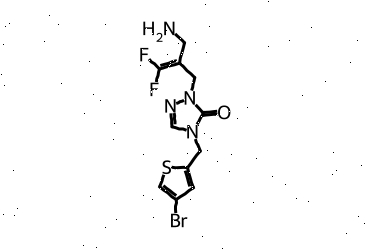 NCC(Cn1ncn(Cc2cc(Br)cs2)c1=O)=C(F)F